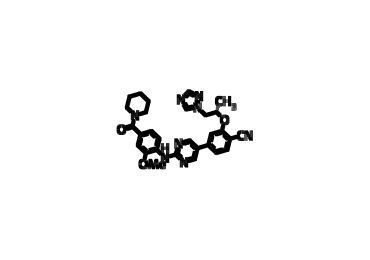 COc1cc(C(=O)N2CCCCC2)ccc1Nc1ncc(-c2ccc(C#N)c(O[C@@H](C)Cn3cncn3)c2)cn1